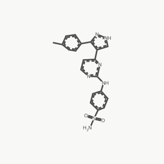 Cc1ccc(-c2n[nH]cc2-c2ccnc(Nc3ccc(S(N)(=O)=O)cc3)n2)cc1